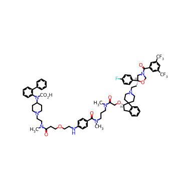 CN(CCN1CCC(N(C(=O)O)c2ccccc2-c2ccccc2)CC1)C(=O)CCOCCNc1ccc(C(=O)N(C)CCCN(C)C(=O)CO[C@H]2Cc3ccccc3C23CCN(CC[C@]2(c4ccc(F)cc4)CN(C(=O)c4cc(C(F)(F)F)cc(C(F)(F)F)c4)CO2)CC3)cc1